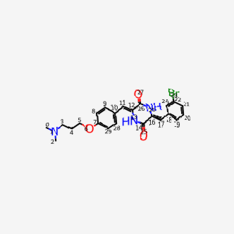 CN(C)CCCOc1ccc(/C=c2\[nH]c(=O)/c(=C/c3cccc(Br)c3)[nH]c2=O)cc1